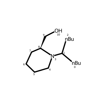 CCCCC(CCCC)N1CCCC[C@H]1CO